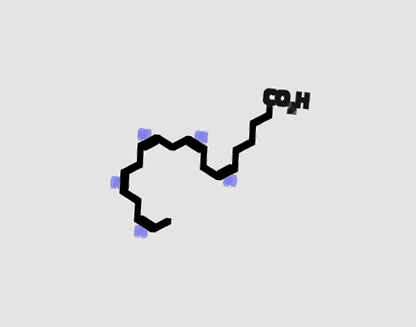 C/C=C\C/C=C\C/C=C\C/C=C\C/C=C\CCCCC(=O)O